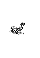 COc1cc2c(cc1C(=O)Nc1cccc(-c3nnc4n3CCC4)n1)CN(C(=O)[C@@H](O)CC(C)C)CC2